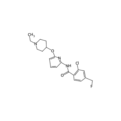 CCN1CCC(Oc2cccc(NC(=O)c3ccc(CF)cc3Cl)n2)CC1